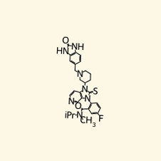 CC(C)N(C)C(=O)c1cc(F)ccc1-n1c(=S)n(C2CCCN(Cc3ccc4[nH]c(=O)[nH]c4c3)C2)c2ccncc21